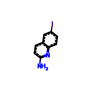 Nc1ccc2cc(I)ccc2n1